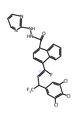 O=C(NNc1ncccn1)c1ccc(/C(F)=C/C(c2cc(Cl)c(Cl)c(Cl)c2)C(F)(F)F)c2ccccc12